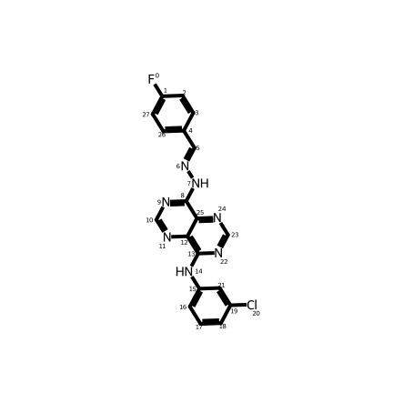 Fc1ccc(C=NNc2ncnc3c(Nc4cccc(Cl)c4)ncnc23)cc1